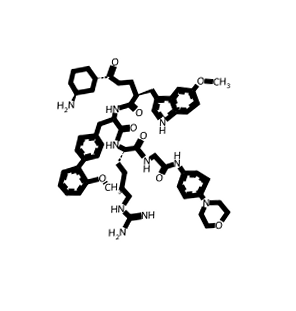 COc1ccc2[nH]cc(C[C@H](CCC(=O)[C@H]3CCC[C@H](N)C3)C(=O)NC(Cc3ccc(-c4ccccc4OC)cc3)C(=O)N[C@@H](CCCCNC(=N)N)C(=O)NCC(=O)Nc3ccc(N4CCOCC4)cc3)c2c1